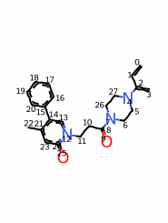 C=CC(=C)N1CCN(C(=O)CCn2cc(-c3ccccc3)c(C)cc2=O)CC1